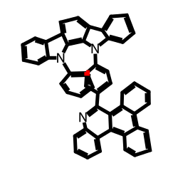 c1ccc(-n2c3ccccc3c3ccc4c5ccccc5n(-c5ccc(-c6nc7ccccc7c7c8ccccc8c8ccccc8c67)cc5)c4c32)cc1